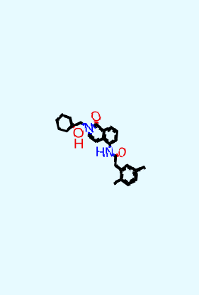 Cc1ccc(C)c(CC(=O)Nc2cccc3c(=O)n(CC4(O)CCCCC4)ccc23)c1